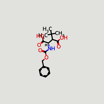 CC(C)(C)C(C(=O)O)[C@@H](NC(=O)OCc1ccccc1)C(=O)O